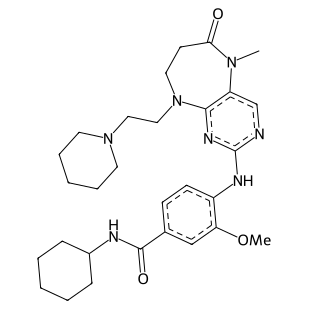 COc1cc(C(=O)NC2CCCCC2)ccc1Nc1ncc2c(n1)N(CCN1CCCCC1)CCC(=O)N2C